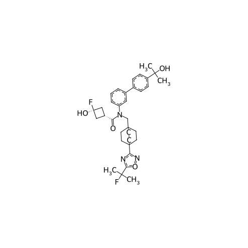 CC(C)(O)c1ccc(-c2cccc(N(CC34CCC(c5noc(C(C)(C)F)n5)(CC3)CC4)C(=O)[C@H]3C[C@](O)(F)C3)c2)cc1